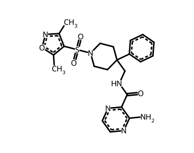 Cc1noc(C)c1S(=O)(=O)N1CCC(CNC(=O)c2nccnc2N)(c2ccccc2)CC1